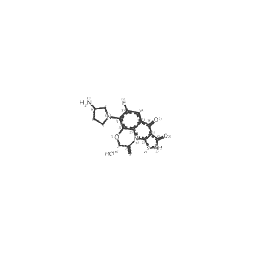 C=C1COc2c(N3CCC(N)C3)c(F)cc3c(=O)c4c(=O)[nH]sc4n1c23.Cl